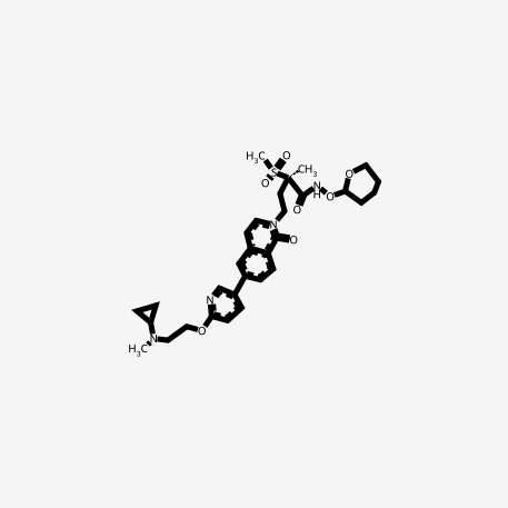 CN(CCOc1ccc(-c2ccc3c(=O)n(CC[C@](C)(C(=O)NOC4CCCCO4)S(C)(=O)=O)ccc3c2)cn1)C1CC1